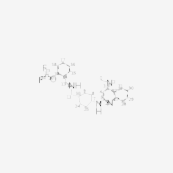 CN(C)c1cc(N[C@H]2CC[C@@H](CNCc3ccccc3OC(F)F)CC2)nc2ccccc12